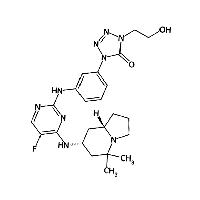 CC1(C)C[C@H](Nc2nc(Nc3cccc(-n4nnn(CCO)c4=O)c3)ncc2F)C[C@@H]2CCCN21